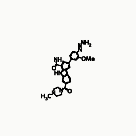 COc1cc(-c2cc(C(N)=O)c3[nH]c4cc(C(=O)N5CCN(C)CC5)ccc4c3c2)ccc1N=NN